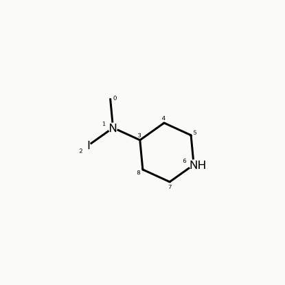 CN(I)C1CCNCC1